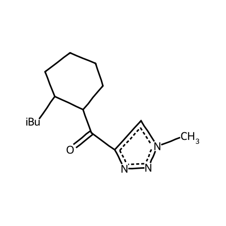 CCC(C)C1CCCCC1C(=O)c1cn(C)nn1